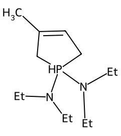 CCN(CC)[PH]1(N(CC)CC)CC=C(C)C1